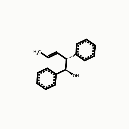 CC=C[C@H](c1ccccc1)[C@@H](O)c1ccccc1